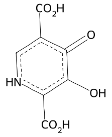 O=C(O)c1[nH]cc(C(=O)O)c(=O)c1O